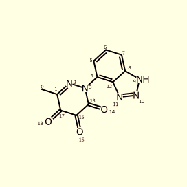 CC1=NN(c2cccc3[nH]nnc23)C(=O)C(=O)C1=O